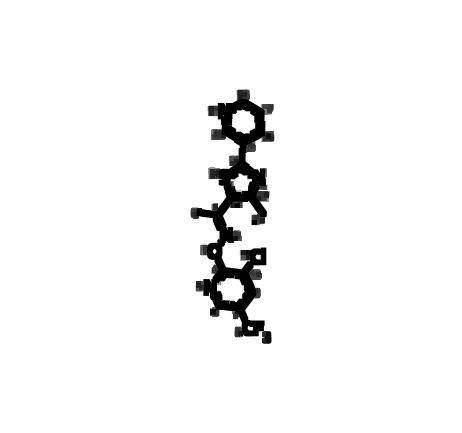 C/C(=N\Oc1ncc(C(F)(F)F)cc1Cl)c1sc(-c2cccnc2)nc1C